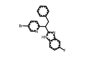 Fc1ccc2[nH]c(C(Cc3ccccc3)c3ccc(Br)cn3)nc2c1